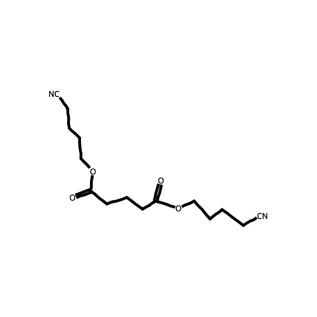 N#CCCCCOC(=O)CCCC(=O)OCCCCC#N